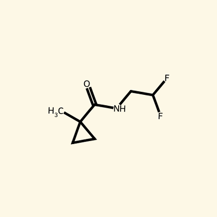 CC1(C(=O)NCC(F)F)CC1